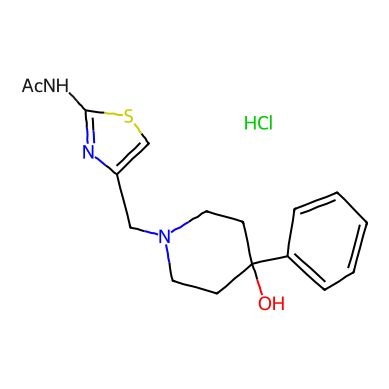 CC(=O)Nc1nc(CN2CCC(O)(c3ccccc3)CC2)cs1.Cl